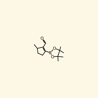 CC1CCC(B2OC(C)(C)C(C)(C)O2)=C1C=O